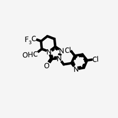 O=CC1C(C(F)(F)F)CCc2nn(Cc3ncc(Cl)cc3Cl)c(=O)n21